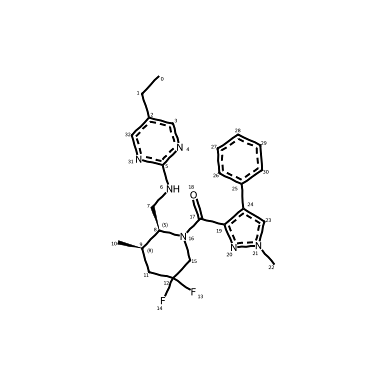 CCc1cnc(NC[C@@H]2[C@H](C)CC(F)(F)CN2C(=O)c2nn(C)cc2-c2ccccc2)nc1